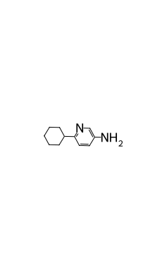 Nc1ccc(C2CCCCC2)nc1